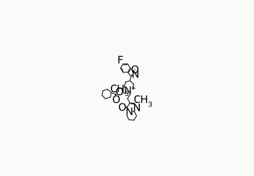 Cc1nc2n(c(=O)c1CC[N+]1(COC(=O)C3(C)CCCCC3)CCC(c3noc4cc(F)ccc34)CC1)CCCC2